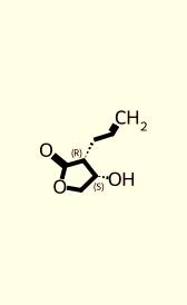 C=CC[C@H]1C(=O)OC[C@H]1O